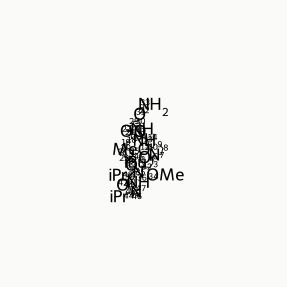 CC[C@H](C)C(C(CC(=O)N1CCC[C@H]1[C@H](OC)[C@@H](C)C(=O)N[C@@H](Cc1ccccc1)C(=O)NCCOCN)OC)N(C)C(=O)[C@@H](NC(=O)[C@H](C(C)C)N(C)C)C(C)C